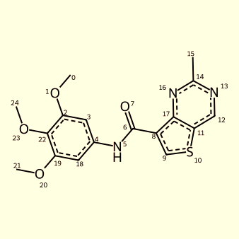 COc1cc(NC(=O)c2csc3cnc(C)nc23)cc(OC)c1OC